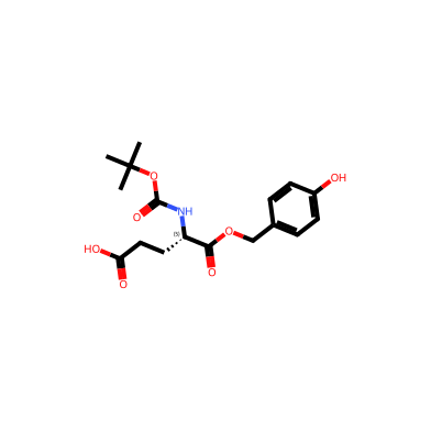 CC(C)(C)OC(=O)N[C@@H](CCC(=O)O)C(=O)OCc1ccc(O)cc1